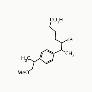 CCC[C](CCCC(=O)O)C(C)c1ccc(C(C)COC)cc1